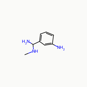 CNC(N)c1cccc(N)c1